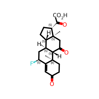 C[C@]12CC(=O)[C@H]3[C@@H](C[C@H](F)C4=CC(=O)CC[C@@]43C)[C@@H]1CC[C@@H]2C(=O)C(=O)O